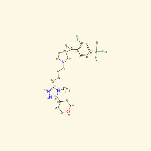 Cn1c(SCCCN2CC[C@@]3(C[C@H]3c3ccc(C(F)(F)F)cc3F)C2)nnc1C1CCOCC1